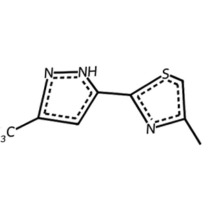 Cc1csc(-c2cc(C(F)(F)F)n[nH]2)n1